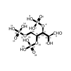 O=C[C@@H](O)[C@H](OP(=O)(O)O)[C@H](COP(=O)(O)O)OP(=O)(O)O